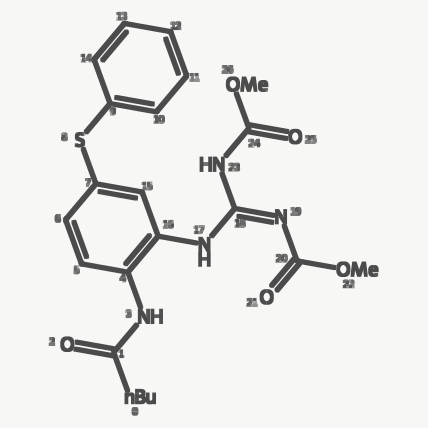 CCCCC(=O)Nc1ccc(Sc2ccccc2)cc1NC(=NC(=O)OC)NC(=O)OC